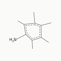 Cc1c(C)c(C)c([SiH3])c(C)c1C